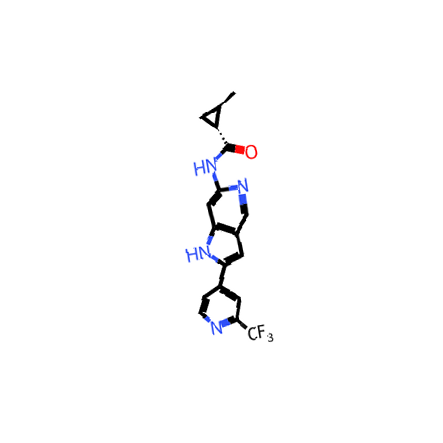 C[C@@H]1C[C@H]1C(=O)Nc1cc2[nH]c(-c3ccnc(C(F)(F)F)c3)cc2cn1